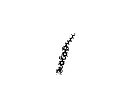 CCCCCCCCc1cnc(-c2ccc(OC(=O)c3ccc(OC[C@H](CC)OC)cc3)cc2)nc1